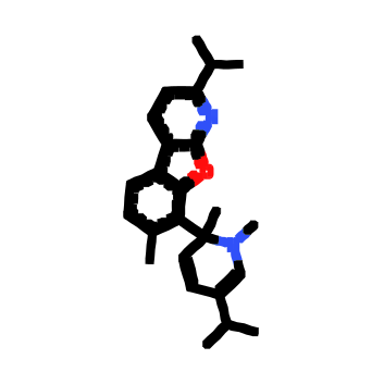 Cc1ccc2c(oc3nc(C(C)C)ccc32)c1C1(C)C=CC(C(C)C)=CN1C